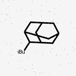 CC[C](C)C1C2CC3CC(C2)CC1C3